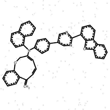 C=C1/C=C\C=C(\N(c2ccc(-c3cnc(-c4cccc5c4oc4ccccc45)nc3)cc2)c2cccc3ccccc23)COc2ccccc21